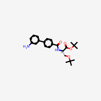 CC(C)(C)OC[C@H](NC(=O)c1ccc(-c2cccc(N)c2)cc1)C(=O)OC(C)(C)C